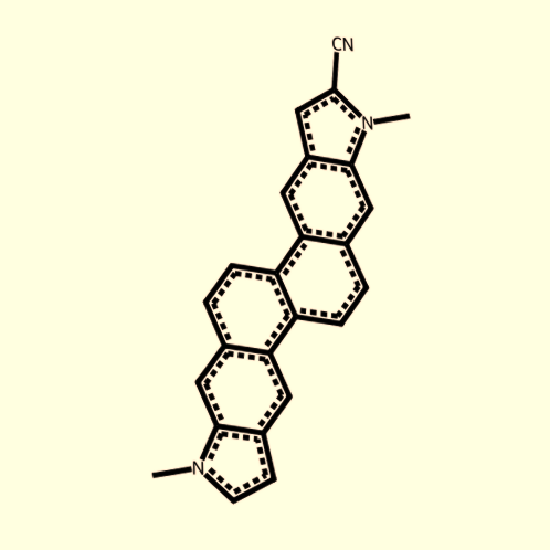 Cn1ccc2cc3c(ccc4c5cc6cc(C#N)n(C)c6cc5ccc34)cc21